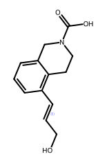 O=C(O)N1CCc2c(/C=C/CO)cccc2C1